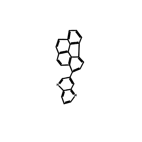 c1cc2c3c(c1)ccc1ccc4c(-c5cnc6cccnc6c5)ccc-2c4c13